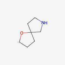 [CH]1CCC2(CCNC2)O1